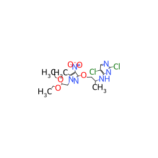 CCOC(Cn1nc(OCCC(C)Nc2nc(Cl)ncc2Cl)c([N+](=O)[O-])c1C)OCC